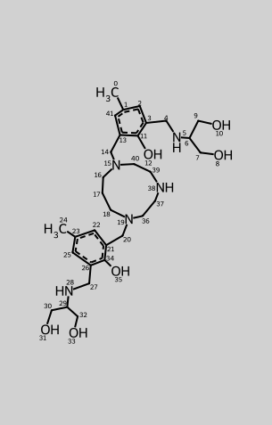 Cc1cc(CNC(CO)CO)c(O)c(CN2CCCN(Cc3cc(C)cc(CNC(CO)CO)c3O)CCNCC2)c1